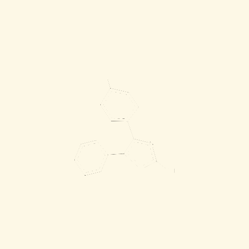 Sc1nc(-c2ccc(I)cc2)c(-c2ccccc2)o1